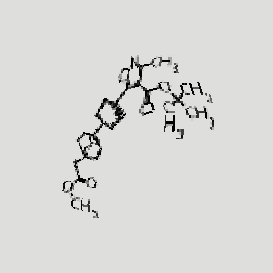 COC(=O)CC12CCC(c3ccc(-c4onc(C)c4C(=O)OC(C)(C)C)cc3)(CC1)OC2